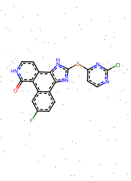 O=c1[nH]ccc2c3[nH]c(Sc4ccnc(Cl)n4)nc3c3ccc(F)cc3c12